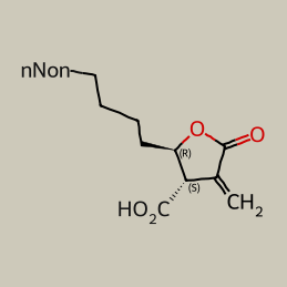 C=C1C(=O)O[C@H](CCCCCCCCCCCCC)[C@H]1C(=O)O